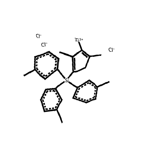 CC1=[C]([Ti+3])C(C)=C([Si](c2cccc(C)c2)(c2cccc(C)c2)c2cccc(C)c2)C1.[Cl-].[Cl-].[Cl-]